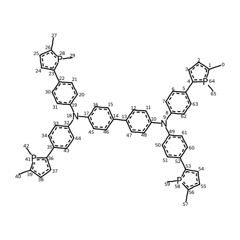 Cc1ccc(-c2ccc(N(c3ccc(-c4ccc(N(c5ccc(-c6ccc(C)p6C)cc5)c5ccc(-c6ccc(C)p6C)cc5)cc4)cc3)c3ccc(-c4ccc(C)p4C)cc3)cc2)p1C